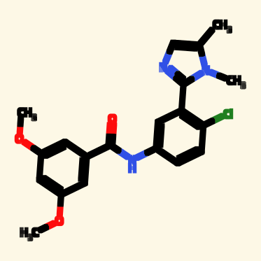 COc1cc(OC)cc(C(=O)Nc2ccc(Cl)c(-c3ncc(C)n3C)c2)c1